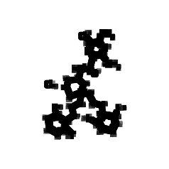 Nc1nc(N)c(C(=O)NC2CCC[N+](CCCc3c(F)cccc3F)(CCCc3c(F)cccc3F)C2)nc1Cl.[Cl-]